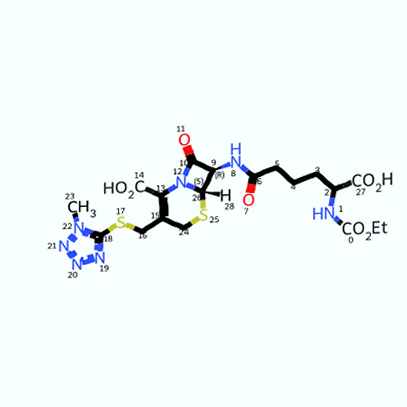 CCOC(=O)NC(CCCC(=O)N[C@@H]1C(=O)N2C(C(=O)O)=C(CSc3nnnn3C)CS[C@@H]12)C(=O)O